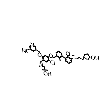 Cc1c(COc2cc(OCc3cncc(C#N)c3)c(CN(C)CC(C)(C)O)cc2Cl)cccc1-c1cccc(OCCCN2CC[C@@H](O)C2)c1Cl